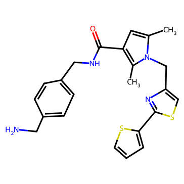 Cc1cc(C(=O)NCc2ccc(CN)cc2)c(C)n1Cc1csc(-c2cccs2)n1